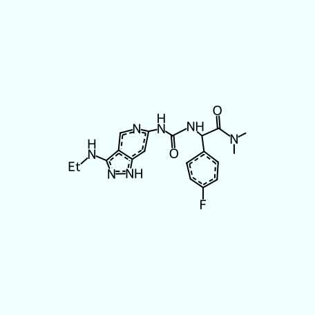 CCNc1n[nH]c2cc(NC(=O)NC(C(=O)N(C)C)c3ccc(F)cc3)ncc12